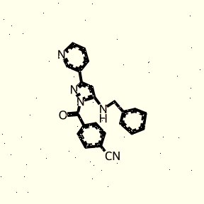 N#Cc1ccc(C(=O)n2nc(-c3cccnc3)cc2NCc2ccccc2)cc1